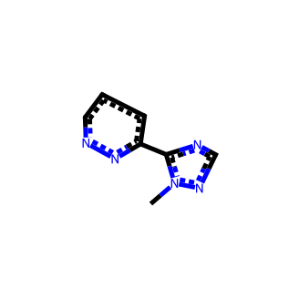 Cn1ncnc1-c1cccnn1